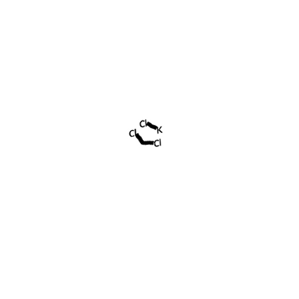 ClCCl.[Cl][K]